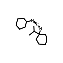 CC(C)C1(N=C=NC2CCCCC2)CCCCC1